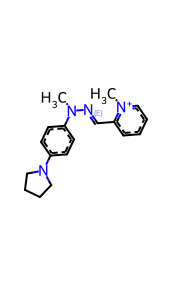 CN(/N=C/c1cccc[n+]1C)c1ccc(N2CCCC2)cc1